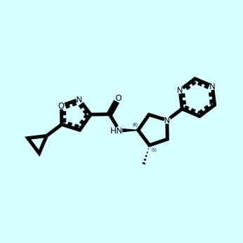 C[C@H]1CN(c2ccncn2)C[C@@H]1NC(=O)c1cc(C2CC2)on1